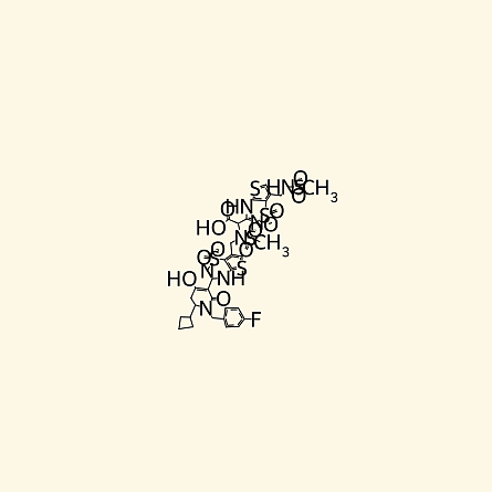 CS(=O)(=O)NCc1csc2c1S(=O)(=O)N=C(C(C(=O)O)N(Cc1csc3c1S(=O)(=O)N=C(C1=C(O)CC(C4CCC4)N(Cc4ccc(F)cc4)C1=O)N3)S(C)(=O)=O)N2